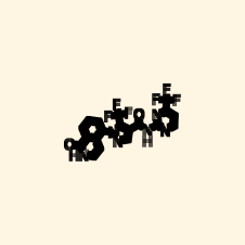 O=C(Nc1nccc(C(F)(F)F)n1)c1cnn(-c2cccc3c(=O)[nH]ccc23)c1C(F)(F)F